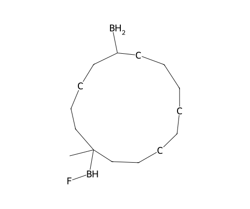 BC1CCCCCCCCC(C)(BF)CCCC1